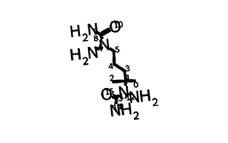 CC(C)(CCCN(N)C(N)=O)N(N)C(N)=O